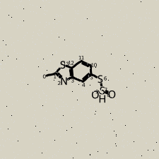 Cc1nc2cc(S[SH](=O)=O)ccc2s1